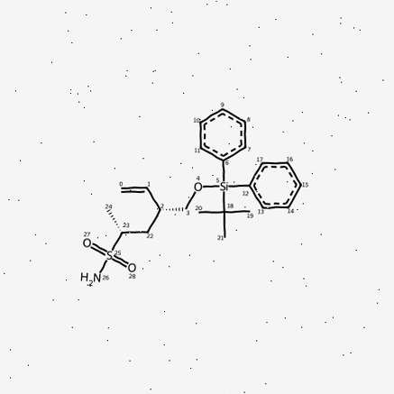 C=C[C@H](CO[Si](c1ccccc1)(c1ccccc1)C(C)(C)C)C[C@@H](C)S(N)(=O)=O